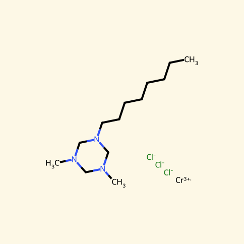 CCCCCCCCN1CN(C)CN(C)C1.[Cl-].[Cl-].[Cl-].[Cr+3]